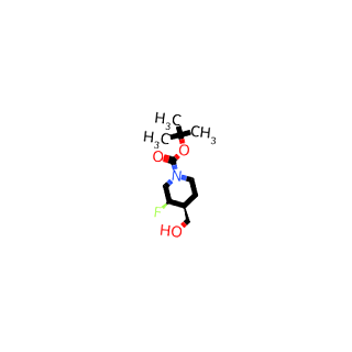 CC(C)(C)OC(=O)N1CC[C@@H](CO)[C@@H](F)C1